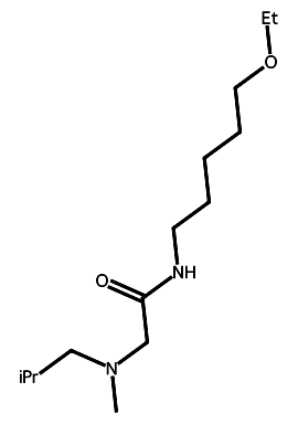 CCOCCCCCNC(=O)CN(C)CC(C)C